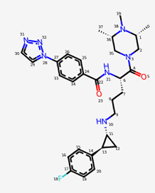 C[C@@H]1CN(C(=O)[C@H](CCCN[C@@H]2C[C@H]2c2ccc(F)cc2)NC(=O)c2ccc(-n3ccnn3)cc2)C[C@H](C)N1C